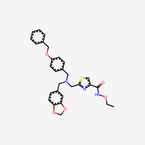 CCONC(=O)c1csc(CN(Cc2ccc(OCc3ccccc3)cc2)Cc2ccc3c(c2)OCO3)n1